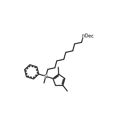 CCCCCCCCCCCCCCCCCC[Si](C)(C1=C(C)C=C(C)C1)c1ccccc1